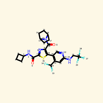 O=C(NC1CCC1)c1nc(C(=O)N2C3CCC2CC3)c(-c2cnc(NCC(F)(F)F)cc2C(F)F)s1